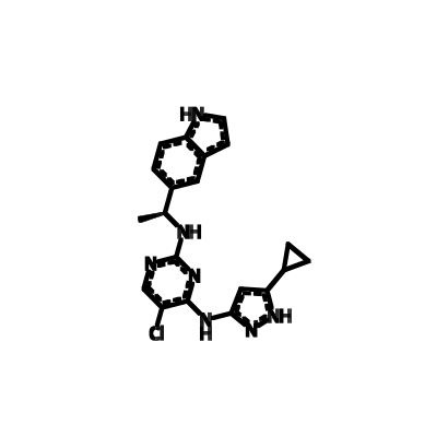 C[C@H](Nc1ncc(Cl)c(Nc2cc(C3CC3)[nH]n2)n1)c1ccc2[nH]ccc2c1